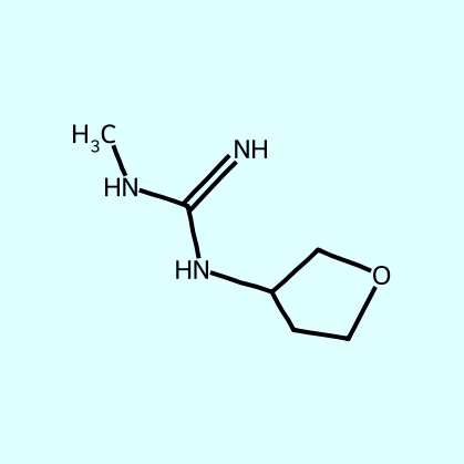 CNC(=N)NC1CCOC1